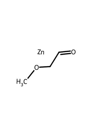 COCC=O.[Zn]